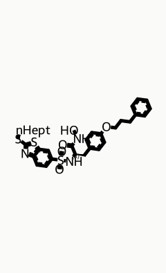 CCCCCCCSc1nc2ccc(S(=O)(=O)N[C@H](Cc3ccc(OCCCc4ccccc4)cc3)C(=O)NO)cc2s1